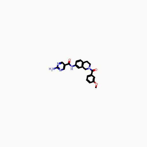 COc1cccc(C(=O)N2CCc3ccc(NC(=O)c4cnc(N)nc4)cc3C2)c1